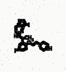 CC(Nc1ccn2ncc(I)c2n1)c1cc(F)ccc1OCCN1CCNCC1